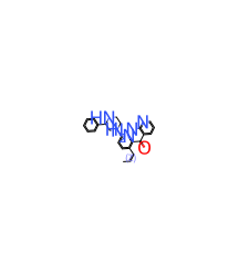 C/C=C\c1ccc(N2CCNC(c3ccccc3)C2)nc1C(=O)c1cccnc1N